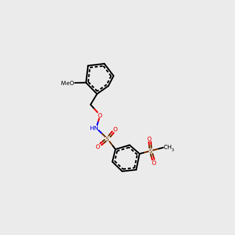 COc1ccccc1CONS(=O)(=O)c1cccc(S(C)(=O)=O)c1